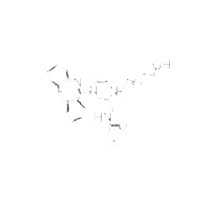 CC(=O)CC(=O)NCC1CN(C2=Nc3ccccc3Sc3ccccc32)CCN1CCOCCO